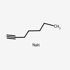 [C]#CCCCCC.[NaH]